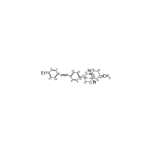 CCc1ccc(C#Cc2ccc([C@@H]3CC[C@@H]4CC(C)CC[C@@H]4C3)cc2)cc1